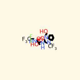 CC(O)(C(=O)NCC(F)(F)C(F)(F)F)C(=O)NC1CN(CC(F)(F)F)c2ccccc2N(CCO)C1=O